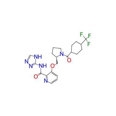 O=C(Nc1nnc[nH]1)c1ncccc1OC[C@H]1CCCN1C(=O)C1CCC(C(F)(F)F)CC1